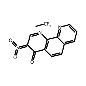 CC(F)(F)F.O=C1C(=S(=O)=O)C=Nc2c1ccc1cccnc21